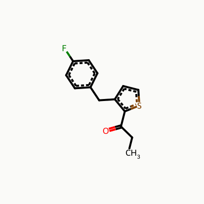 CCC(=O)c1sccc1Cc1ccc(F)cc1